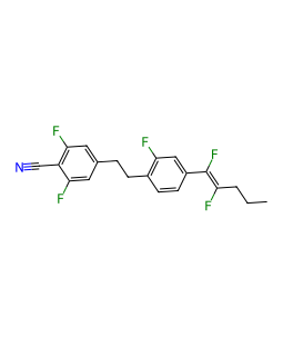 CCCC(F)=C(F)c1ccc(CCc2cc(F)c(C#N)c(F)c2)c(F)c1